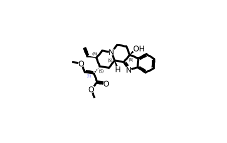 C=C[C@H]1CN2CC[C@@]3(O)C(=Nc4ccccc43)[C@@H]2C[C@@H]1/C(=C\OC)C(=O)OC